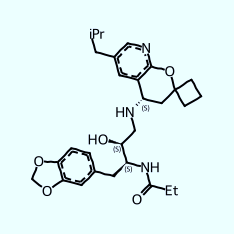 CCC(=O)N[C@@H](Cc1ccc2c(c1)OCO2)[C@@H](O)CN[C@H]1CC2(CCC2)Oc2ncc(CC(C)C)cc21